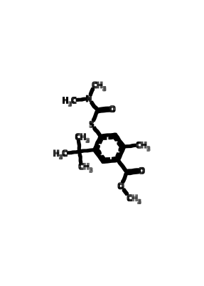 COC(=O)c1cc(C(C)(C)C)c(SC(=O)N(C)C)cc1C